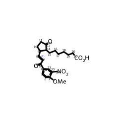 COc1ccc(C(=O)/C=C/C2CCC(=O)C2CCCCCCC(=O)O)cc1[N+](=O)[O-]